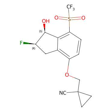 N#CC1(COc2ccc(S(=O)(=O)C(F)(F)F)c3c2C[C@@H](F)[C@H]3O)CC1